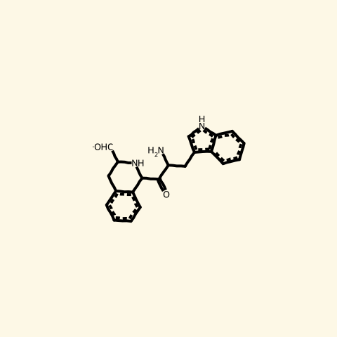 NC(Cc1c[nH]c2ccccc12)C(=O)C1NC([C]=O)Cc2ccccc21